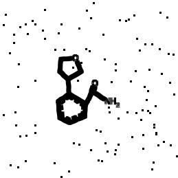 NC(=O)c1ccccc1C1CCOC1